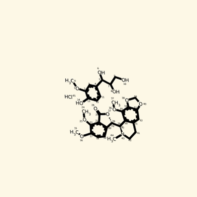 COc1cc(C(O)C(O)CO)ccc1O.COc1ccc2c(c1OC)C(=O)O[C@@H]2[C@H]1c2c(cc3c(c2OC)OCO3)CCN1C.Cl